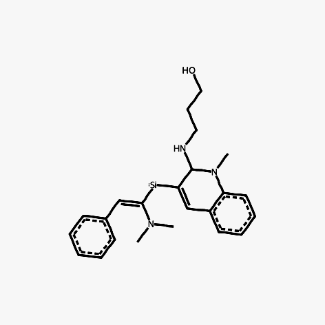 CN(C)C(=Cc1ccccc1)[Si]C1=Cc2ccccc2N(C)C1NCCCO